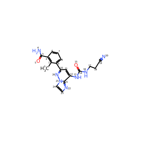 Cc1c(C(N)=O)cccc1-c1cc(NC(=O)NCCC#N)c2nccn2n1